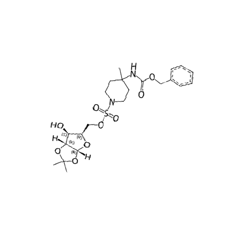 CC1(NC(=O)OCc2ccccc2)CCN(S(=O)(=O)OC[C@H]2O[C@@H]3OC(C)(C)O[C@@H]3[C@H]2O)CC1